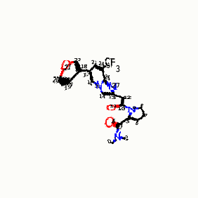 CN(C)C(=O)C1CCCN1C(=O)Cc1cn2cc(-c3ccoc3)cc(C(F)(F)F)c2n1